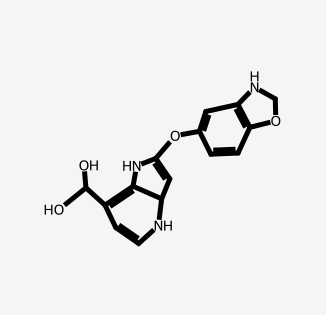 OC(O)C1=C2NC(Oc3ccc4c(c3)NCO4)=CC2NC=C1